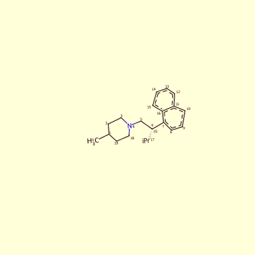 CC1CCN(C[C@H](c2cccc3ccccc23)C(C)C)CC1